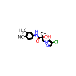 Cc1cc(NC(=O)C(C)(O)Cn2cc(Cl)cn2)ccc1C#N